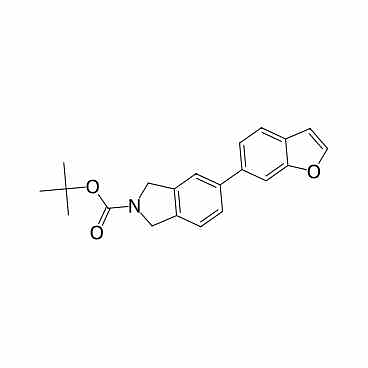 CC(C)(C)OC(=O)N1Cc2ccc(-c3ccc4ccoc4c3)cc2C1